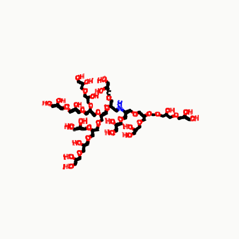 OCC(O)COCC(O)COCOC(COCC(O)CO)COCC(COCC(O)CO)NCC(COCC(O)CO)OCC(COCC(COCC(O)COCC(O)CO)OCC(O)CO)OCC(COCC(O)COCC(O)CO)OCC(O)COCC(O)CO